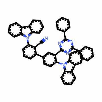 N#Cc1c(-c2ccc(-n3c4ccccc4c4ccccc43)c(-c3nc(-c4ccccc4)nc(-c4ccccc4)n3)c2)cccc1-n1c2ccccc2c2ccccc21